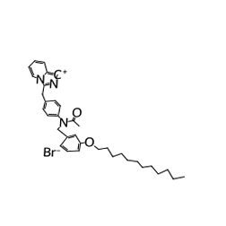 CCCCCCCCCCCCOc1cccc(CN(C(C)=O)c2ccc(CC3=N[C+]=C4C=CC=CN43)cc2)c1.[Br-]